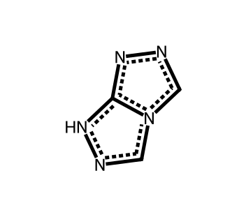 c1nnc2[nH]ncn12